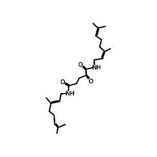 CC(C)=CCCC(C)=CCNC(=O)CCC(=O)C(=O)NCC=C(C)CCC=C(C)C